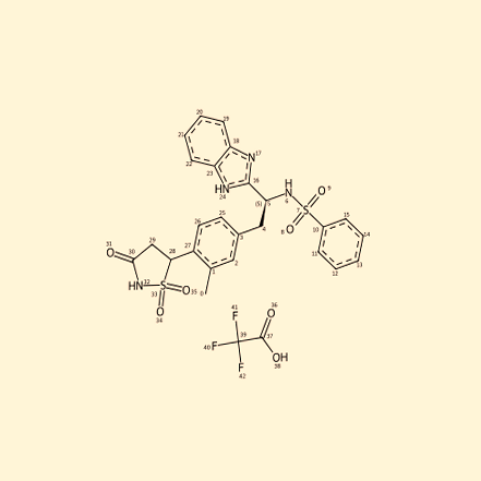 Cc1cc(C[C@H](NS(=O)(=O)c2ccccc2)c2nc3ccccc3[nH]2)ccc1C1CC(=O)NS1(=O)=O.O=C(O)C(F)(F)F